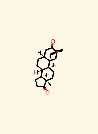 C=C=C[C@]12CCC(=O)C[C@@H]1CC[C@@H]1[C@@H]2CC[C@]2(C)C(=O)CC[C@@H]12